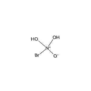 [O-][N+](O)(O)Br